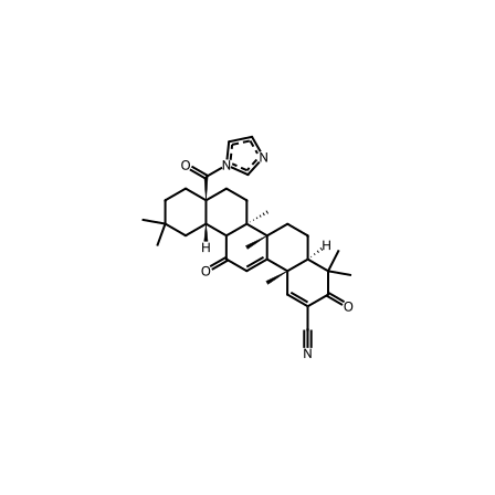 CC1(C)CC[C@]2(C(=O)n3ccnc3)CC[C@]3(C)C(C(=O)C=C4[C@@]5(C)C=C(C#N)C(=O)C(C)(C)[C@@H]5CC[C@]43C)[C@@H]2C1